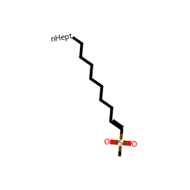 CCCCCCCCCCCCCCC=CS(C)(=O)=O